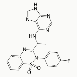 CC(Nc1ncnc2[nH]cnc12)C1=Nc2ccccc2S(=O)(=O)N1c1ccc(F)cc1